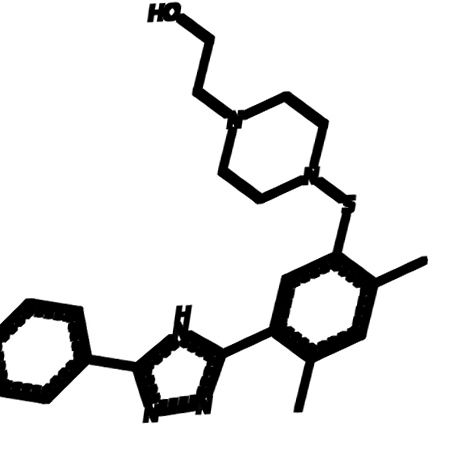 Cc1cc(C)c(-c2nnc(-c3ccccc3)[nH]2)cc1SN1CCN(CCO)CC1